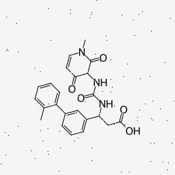 Cc1ccccc1-c1cccc(C(CC(=O)O)NC(=O)NC2C(=O)C=CN(C)C2=O)c1